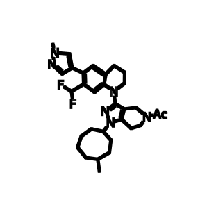 CC(=O)N1CCc2c(c(N3CCCc4cc(-c5cnn(C)c5)c(C(F)F)cc43)nn2C2CCCCC(C)CC2)C1